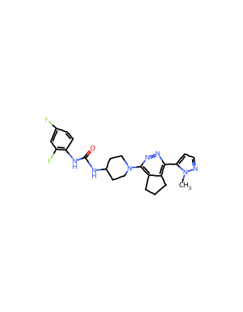 Cn1nccc1-c1nnc(N2CCC(NC(=O)Nc3ccc(F)cc3F)CC2)c2c1CCC2